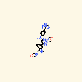 Cc1nnc(-c2ccc(Nc3cc(-c4ccc5c(CCN6CCOCC6)nn(C)c5c4)nc(N4CCOCC4)n3)cc2)[nH]1